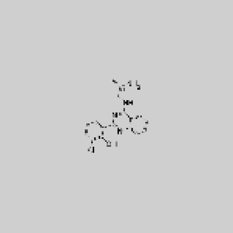 C[C@@H](N)CNc1nc(-c2cccc(Cl)c2O)nc2ccccc12